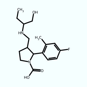 CCC(CO)NCC1CCN(C(=O)O)C1c1ccc(F)cc1C